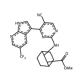 COC(=O)C1C2CCC(CC2)C1Nc1ncc(C#N)c(-c2c[nH]c3ncc(C(F)(F)F)cc23)n1